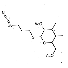 CC(=O)OCC1OC(SCCCN=[N+]=[N-])C(OC(C)=O)C(C)C1C